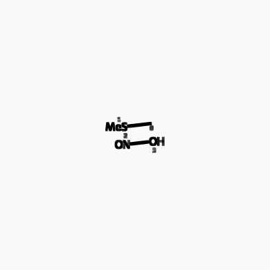 CSC.O=NO